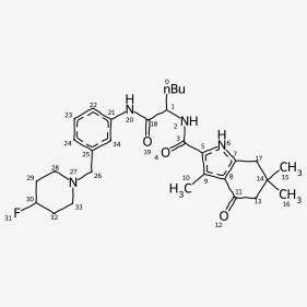 CCCCC(NC(=O)c1[nH]c2c(c1C)C(=O)CC(C)(C)C2)C(=O)Nc1cccc(CN2CCC(F)CC2)c1